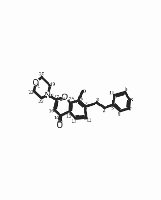 Cc1c(CCc2ccccc2)ccc2c(=O)cc(N3CCOCC3)oc12